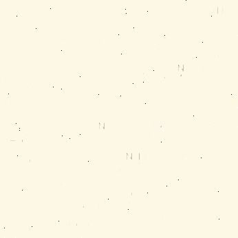 [2H]C1CCN(c2ccc(-c3nc4cc(OC)cc(OC)c4c(=O)[nH]3)cc2)CC1